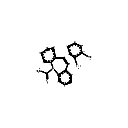 NC(=O)N1c2ccccc2C=Cc2ccccc21.Oc1ccccc1O